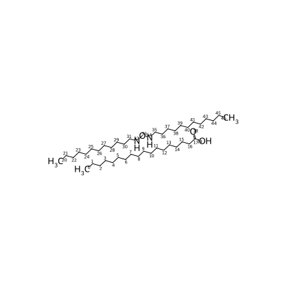 CCCCCCCCCCCCCCCCCC(=O)O.CCCCCCCCCCCCNONCCCCCCCCCCCC